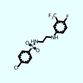 O=S(=O)(NCCNc1ccc(F)c(C(F)(F)F)c1)c1ccc(Cl)cc1